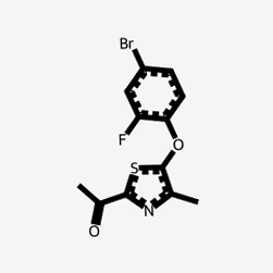 CC(=O)c1nc(C)c(Oc2ccc(Br)cc2F)s1